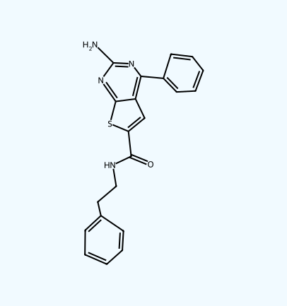 Nc1nc(-c2ccccc2)c2cc(C(=O)NCCc3ccccc3)sc2n1